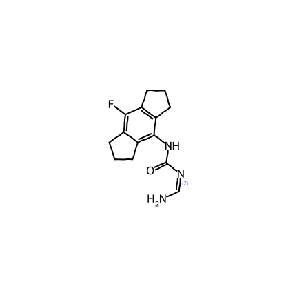 N/C=N\C(=O)Nc1c2c(c(F)c3c1CCC3)CCC2